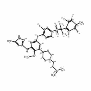 COc1c(Nc2cc(C)[nH]n2)nc(Sc2ccc(S(=O)(=O)C(C)(C)c3c(F)c(F)c(C)c(F)c3F)cc2F)nc1N1CCN(CCN(C)C)CC1